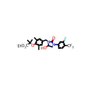 CCOC(=O)C(C)(C)Oc1c(C)cc(CN2C(=O)N(c3ccc(C(F)(F)F)c(F)c3)CC2O)cc1C